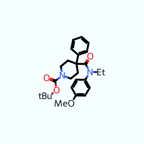 CCN(C(=O)C1(c2ccccc2)CCN(C(=O)OC(C)(C)C)CC1)c1ccc(OC)cc1